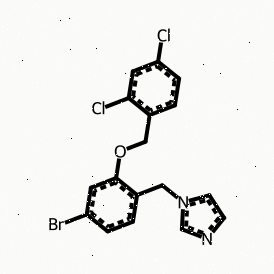 Clc1ccc(COc2cc(Br)ccc2Cn2ccnc2)c(Cl)c1